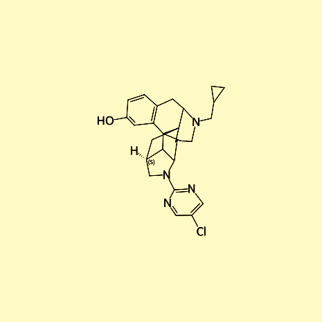 Oc1ccc2c(c1)C13CCN(CC4CC4)C(C2)C12CCC1C3[C@@H](CN1c1ncc(Cl)cn1)C2